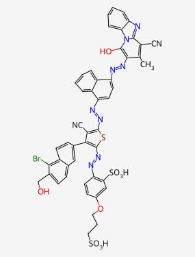 Cc1c(N=Nc2ccc(N=Nc3sc(N=Nc4ccc(OCCCS(=O)(=O)O)cc4S(=O)(=O)O)c(-c4ccc5c(Br)c(CO)ccc5c4)c3C#N)c3ccccc23)c(O)n2c(nc3ccccc32)c1C#N